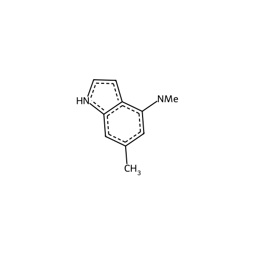 CNc1cc(C)cc2[nH]ccc12